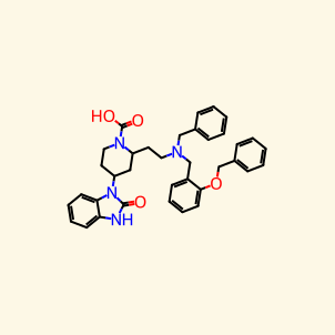 O=C(O)N1CCC(n2c(=O)[nH]c3ccccc32)CC1CCN(Cc1ccccc1)Cc1ccccc1OCc1ccccc1